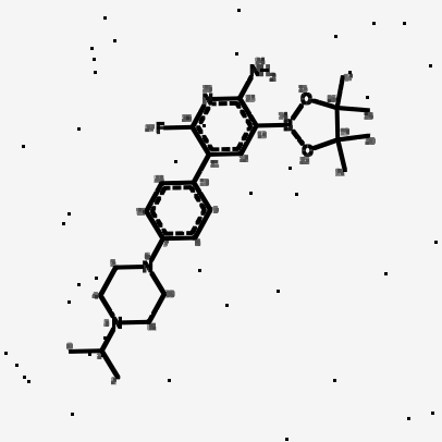 CC(C)N1CCN(c2ccc(-c3cc(B4OC(C)(C)C(C)(C)O4)c(N)nc3F)cc2)CC1